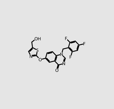 O=c1ncn(Cc2c(F)cc(F)cc2F)c2ccc(Oc3ncc(CO)s3)cc12